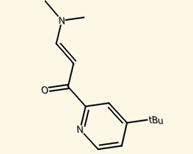 CN(C)C=CC(=O)c1cc(C(C)(C)C)ccn1